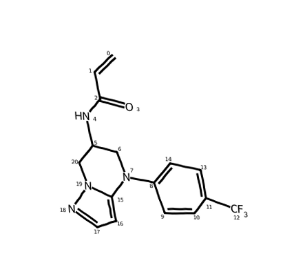 C=CC(=O)NC1CN(c2ccc(C(F)(F)F)cc2)c2ccnn2C1